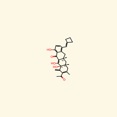 C=C1C(C(C)=O)=C(C)C[C@@]2(C)C[C@@]3(C)Cc4c(C=C5CCC5)ccc(O)c4C(=O)C3=C(O)[C@@]12O